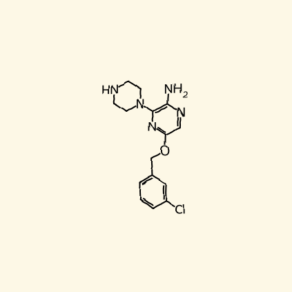 Nc1ncc(OCc2cccc(Cl)c2)nc1N1CCNCC1